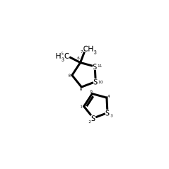 C1=CSSC1.CC1(C)CCSS1